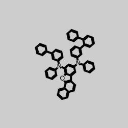 c1ccc(-c2cccc(N(c3ccccc3)c3cc(N(c4ccccc4)c4cccc(-c5ccccc5-c5ccccc5)c4)cc4c3oc3c5ccccc5ccc43)c2)cc1